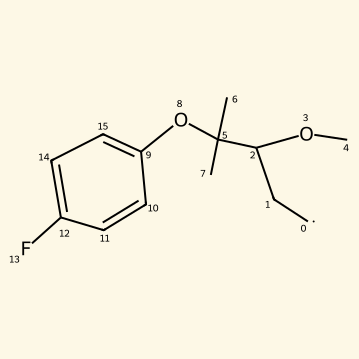 [CH2]CC(OC)C(C)(C)Oc1ccc(F)cc1